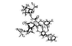 Cn1nc(NS(C)(=O)=O)c2c(Cl)ccc(N3Cc4ccc(N5CC6CCC(C5)O6)cc4N=C3[C@H](Cc3cc(F)cc(F)c3)NC(=O)Cn3nc(C(F)F)c4c3C(F)(F)[C@@H]3C[C@H]43)c21